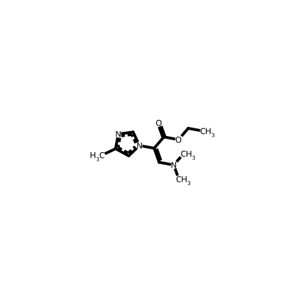 CCOC(=O)C(=CN(C)C)n1cnc(C)c1